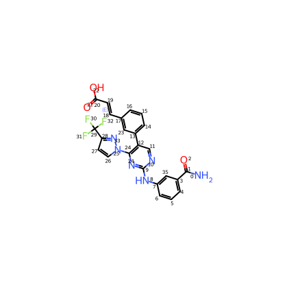 NC(=O)c1cccc(Nc2ncc(-c3cccc(/C=C/C(=O)O)c3)c(-n3ccc(C(F)(F)F)n3)n2)c1